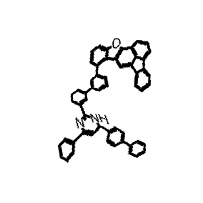 C1=C(C2=NC(c3ccccc3)=CC(c3ccc(-c4ccccc4)cc3)N2)CCC=C1c1cccc(-c2cccc3oc4c5cccc6c5c(cc4c23)-c2ccccc2-6)c1